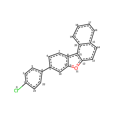 Clc1ccc(-c2ccc3c(c2)oc2ccc4ccccc4c23)cc1